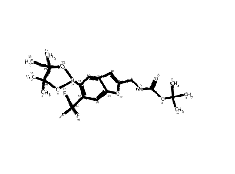 CC(C)(C)OC(=O)NCc1cc2cc(B3OC(C)(C)C(C)(C)O3)c(C(F)(F)F)cc2o1